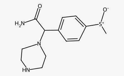 C[S+]([O-])c1ccc(C(C(N)=O)N2CCNCC2)cc1